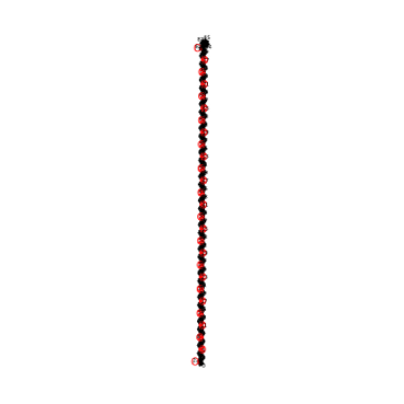 CC(=O)CCOCCOCCOCCOCCOCCOCCOCCOCCOCCOCCOCCOCCOCCOCCOCCOCCOCCOCCOCCOCCOCCOCCOCCOCCOCCC(=O)C(C)(C)C